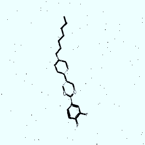 CCCCCCC[C@H]1CC[C@H]([C@H]2CO[C@H](c3ccc(F)c(F)c3)OC2)CC1